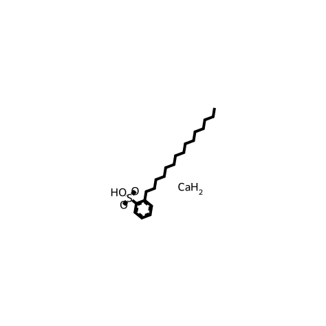 CCCCCCCCCCCCCCCc1ccccc1S(=O)(=O)O.[CaH2]